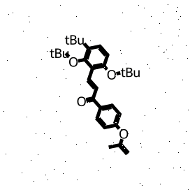 C=C(C)Oc1ccc(C(=O)C=Cc2c(OC(C)(C)C)ccc(C(C)(C)C)c2OC(C)(C)C)cc1